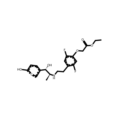 CCOC(=O)COc1cc(F)c(CCN[C@@H](C)[C@@H](O)c2ccc(O)cc2)cc1F